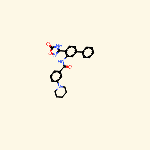 O=C(Nc1cc(-c2ccccc2)ccc1-c1noc(=O)[nH]1)c1cccc(N2CCCCC2)c1